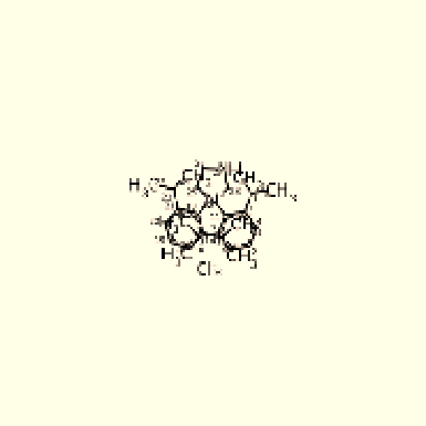 CC(C)c1cccc(C(C)C)c1[N+]1(c2c(C(C)C)cccc2C(C)C)CCNC1.[Cl-]